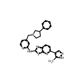 Cc1[nH]ncc1-c1ccc2nc(Nc3cc(CN4CCC(c5ccccc5)C4)ccn3)sc2n1